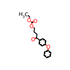 CCOC(=O)OCCCC(=O)c1ccc(Oc2ccccc2)cc1